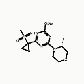 COc1nc(N2CCOC[C@H]2C)nc(C2(S(C)(=N)=O)CC2)n1